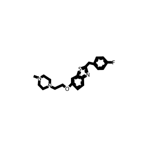 CN1CCN(CCOc2ccc3nc(Cc4ccc(F)cc4)sc3c2)CC1